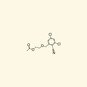 CC(=O)OCCOCc1cc(Cl)cc(Cl)c1C#N